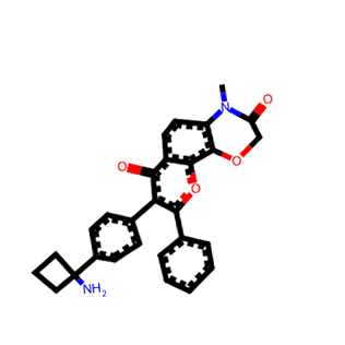 CN1C(=O)COc2c1ccc1c(=O)c(-c3ccc(C4(N)CCC4)cc3)c(-c3ccccc3)oc21